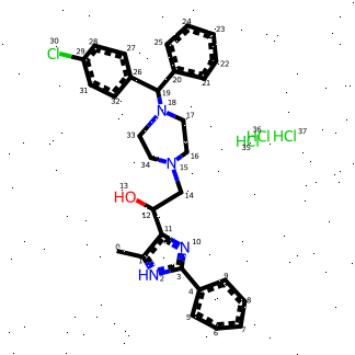 Cc1[nH]c(-c2ccccc2)nc1C(O)CN1CCN(C(c2ccccc2)c2ccc(Cl)cc2)CC1.Cl.Cl.Cl